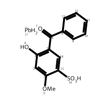 COc1cc(O)c(C(=O)c2ccccc2)cc1S(=O)(=O)O.[PbH2]